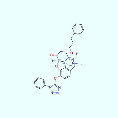 CN1CC[C@]23c4c5ccc(Oc6nnnn6-c6ccccc6)c4O[C@H]2C(=O)CC[C@@]3(OCCCc2ccccc2)[C@H]1C5